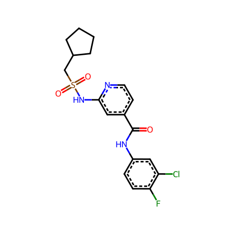 O=C(Nc1ccc(F)c(Cl)c1)c1ccnc(NS(=O)(=O)CC2CCCC2)c1